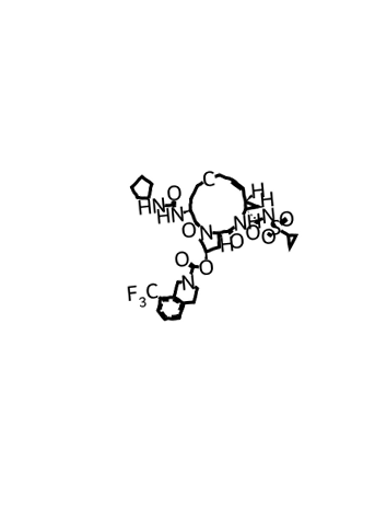 O=C(NC1CCCC1)N[C@H]1CCCC/C=C\[C@@H]2C[C@@]2(C(=O)NS(=O)(=O)C2CC2)NC(=O)[C@@H]2C[C@@H](OC(=O)N3CCc4cccc(C(F)(F)F)c4C3)CN2C1=O